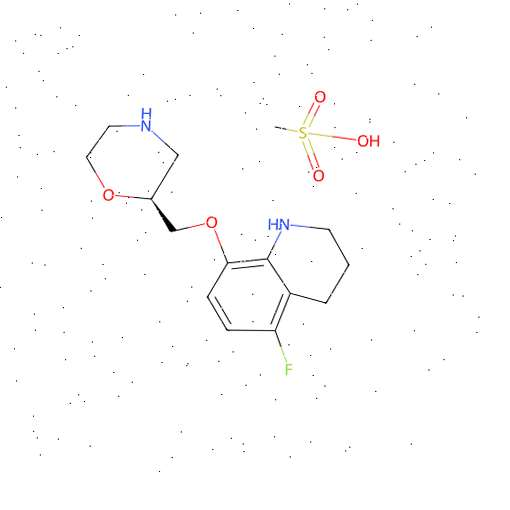 CS(=O)(=O)O.Fc1ccc(OC[C@@H]2CNCCO2)c2c1CCCN2